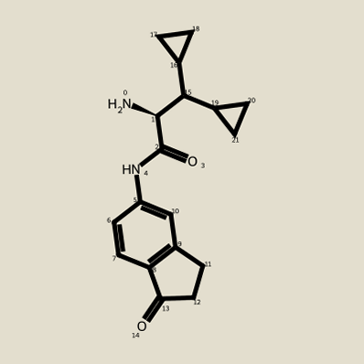 N[C@H](C(=O)Nc1ccc2c(c1)CCC2=O)C(C1CC1)C1CC1